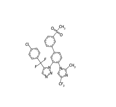 Cc1nc(C(F)(F)F)cn1-c1ccc(-c2cccc(S(C)(=O)=O)c2)cc1-n1nncc1C(F)(F)c1ccc(Cl)cc1